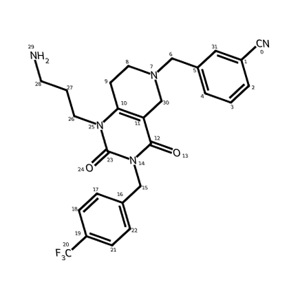 N#Cc1cccc(CN2CCc3c(c(=O)n(Cc4ccc(C(F)(F)F)cc4)c(=O)n3CCCN)C2)c1